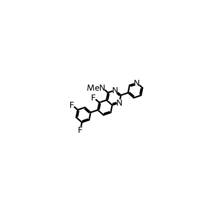 CNc1nc(-c2cccnc2)nc2ccc(-c3cc(F)cc(F)c3)c(F)c12